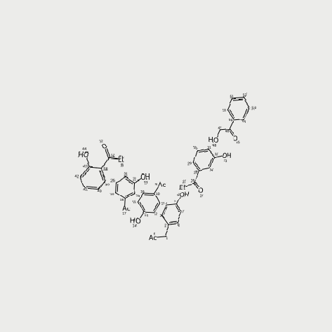 CC(=O)Cc1ccc(O)cc1.CC(=O)c1ccc(O)cc1.CC(=O)c1cccc(O)c1.CCC(=O)c1cccc(O)c1.CCC(=O)c1ccccc1O.O=C(CO)c1ccccc1